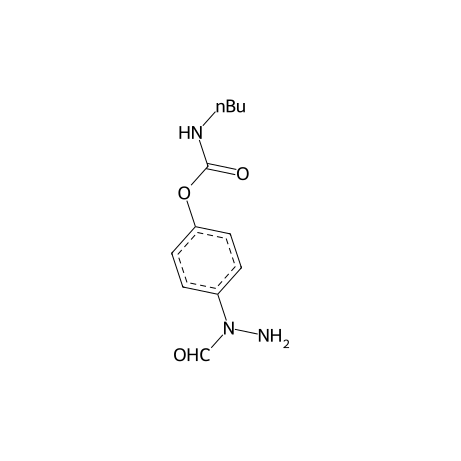 CCCCNC(=O)Oc1ccc(N(N)C=O)cc1